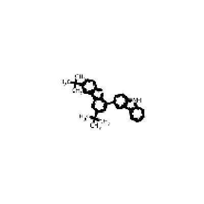 CC(C)(C)c1ccc2sc3c(-c4ccc5[nH]c6ccccc6c5c4)cc(C(C)(C)C)cc3c2c1